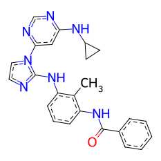 Cc1c(NC(=O)c2ccccc2)cccc1Nc1nccn1-c1cc(NC2CC2)ncn1